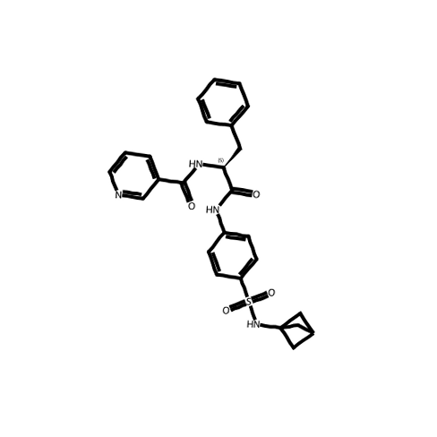 O=C(N[C@@H](Cc1ccccc1)C(=O)Nc1ccc(S(=O)(=O)NC23CC(C2)C3)cc1)c1cccnc1